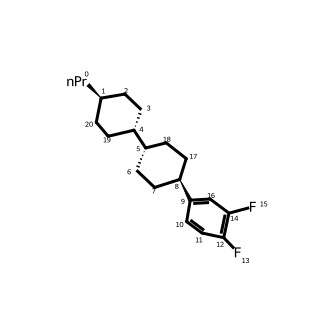 CCC[C@H]1CC[C@H]([C@H]2CC[C@H](c3ccc(F)c(F)c3)CC2)CC1